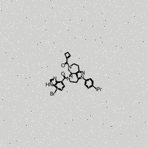 CC(C)c1ccc(-n2nc3c4c2CCN(C(=O)c2ccc(Br)c5[nH]cnc25)[C@H]4CN(C(=O)C2=CCC2)CC3)cc1